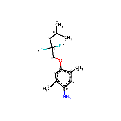 Cc1cc(OCC(F)(F)CC(C)C)c(C)cc1N